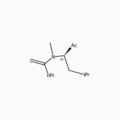 CCCC(=O)N(C)[C@H](CC(C)C)C(C)=O